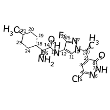 C[C@@H](c1cc(Cl)n[nH]c1=O)n1cc(NC(=O)[C@@H](N)[C@H]2CC[C@H](C)CC2)c(F)n1